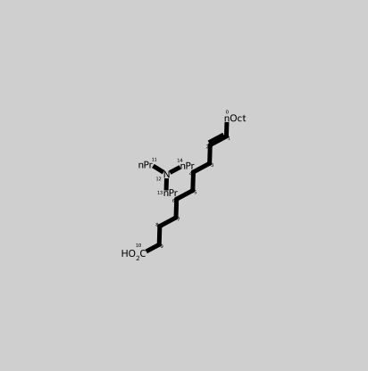 CCCCCCCCC=CCCCCCCCC(=O)O.CCCN(CCC)CCC